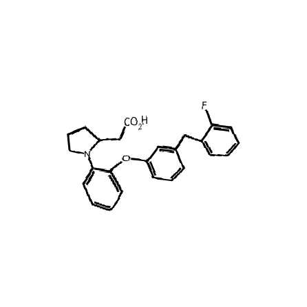 O=C(O)CC1CCCN1c1ccccc1Oc1cccc(Cc2ccccc2F)c1